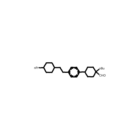 CCCCC1(C=O)CCC(c2ccc(CCC3CCC(CCC)CC3)cc2)CC1